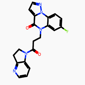 O=C(CCn1c(=O)c2ccnn2c2ccc(F)cc21)N1CCc2ncccc21